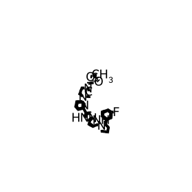 CS(=O)(=O)CCN1CCN(c2cccc(-c3cnc(/C=C\C(=N)N4CCCC4c4cccc(F)c4)[nH]3)n2)CC1